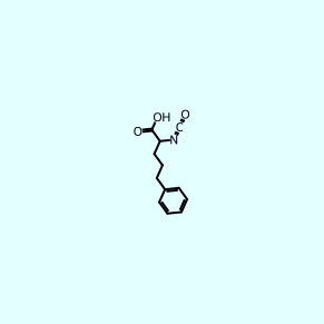 O=C=NC(CCCc1ccccc1)C(=O)O